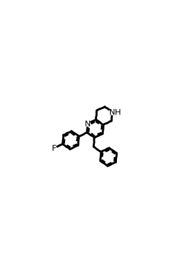 Fc1ccc(-c2nc3c(cc2Cc2ccccc2)CNCC3)cc1